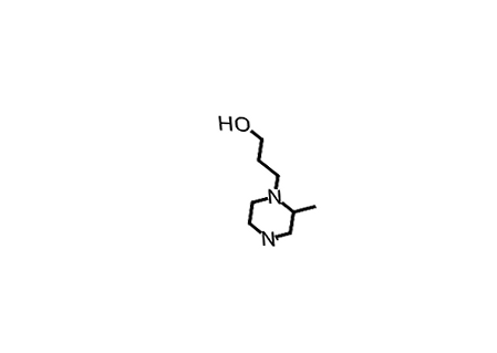 CC1C[N]CCN1CCCO